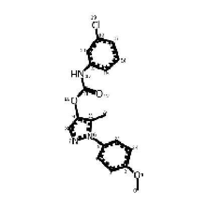 COc1ccc(-n2ncc(OC(=O)Nc3cccc(Cl)c3)c2C)cc1